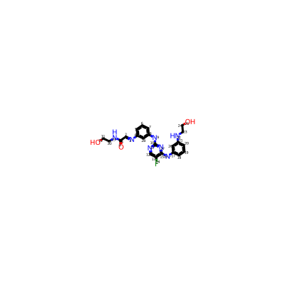 O=C(C=Nc1cccc([N]c2ncc(F)c([N]c3cccc(NCCO)c3)n2)c1)NCCO